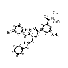 CCCN(CCC)C(=O)c1cc(C)cc(C(=O)OC(CNCc2ccccc2)C(N)Cc2cccc(Br)c2)c1